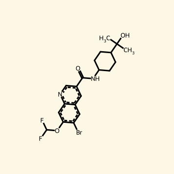 CC(C)(O)C1CCC(NC(=O)c2cnc3cc(OC(F)F)c(Br)cc3c2)CC1